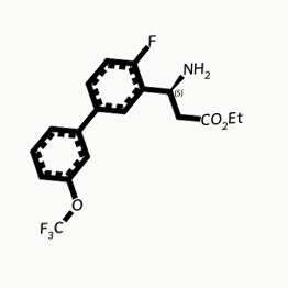 CCOC(=O)C[C@H](N)c1cc(-c2cccc(OC(F)(F)F)c2)ccc1F